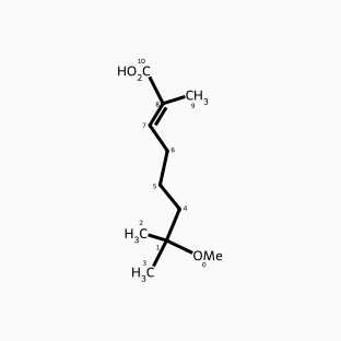 COC(C)(C)CCC/C=C(\C)C(=O)O